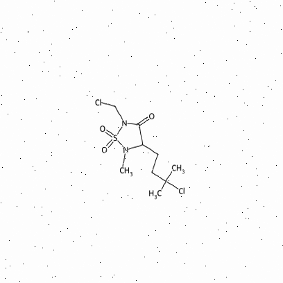 CN1C(CCC(C)(C)Cl)C(=O)N(CCl)S1(=O)=O